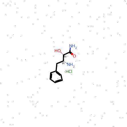 Cl.NC(=O)[C@@H](O)[C@H](N)Cc1ccccc1